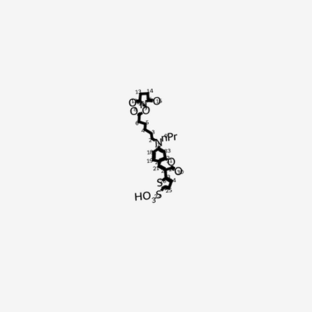 CCCN(CCCCCC(=O)ON1C(=O)CCC1=O)c1ccc2cc(-c3ccc(S(=O)(=O)O)s3)c(=O)oc2c1